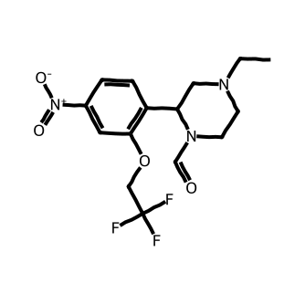 CCN1CCN(C=O)C(c2ccc([N+](=O)[O-])cc2OCC(F)(F)F)C1